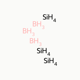 B.B.B.[SiH4].[SiH4].[SiH4]